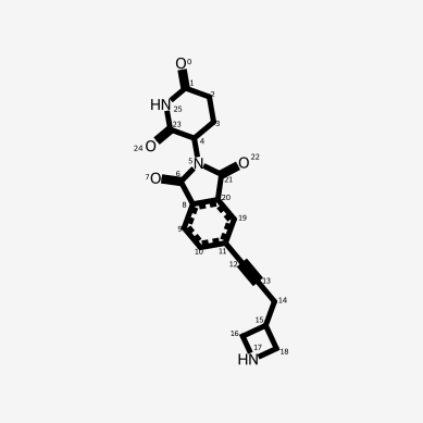 O=C1CCC(N2C(=O)c3ccc(C#CCC4CNC4)cc3C2=O)C(=O)N1